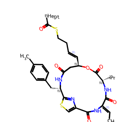 C/C=C1\NC(=O)c2csc(n2)[C@H](Cc2ccc(C)cc2)NC(=O)C[C@@H](/C=C/CCSC(=O)CCCCCCC)OC(=O)[C@H](C(C)C)NC1=O